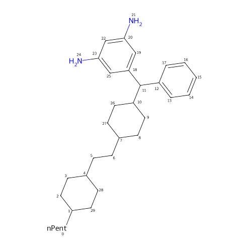 CCCCCC1CCC(CCC2CCC(C(c3ccccc3)c3cc(N)cc(N)c3)CC2)CC1